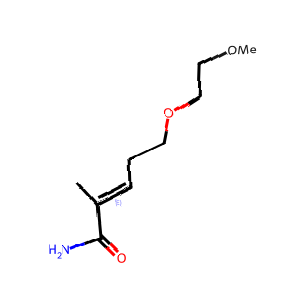 COCCOCC/C=C(\C)C(N)=O